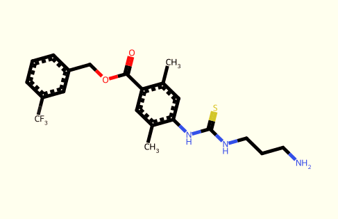 Cc1cc(C(=O)OCc2cccc(C(F)(F)F)c2)c(C)cc1NC(=S)NCCCN